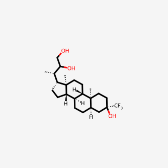 C[C@H](C(O)CO)[C@H]1CC[C@H]2[C@@H]3CC[C@@H]4C[C@@](O)(C(F)(F)F)CC[C@]4(C)[C@H]3CC[C@]12C